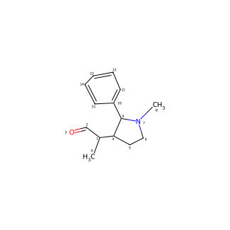 CC([C]=O)C1CCN(C)C1c1ccccc1